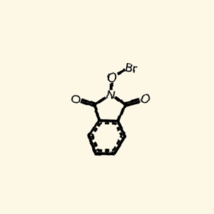 O=C1c2ccccc2C(=O)N1OBr